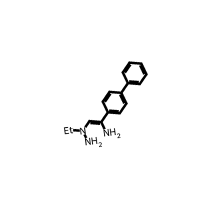 CCN(N)/C=C(\N)c1ccc(-c2ccccc2)cc1